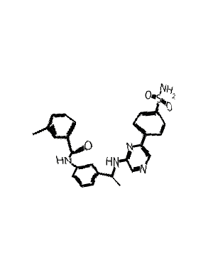 Cc1cccc(C(=O)Nc2cccc([C@H](C)Nc3cncc(-c4ccc(S(N)(=O)=O)cc4)n3)c2)c1